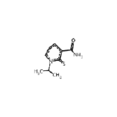 CC(C)n1cccc(C(N)=O)c1=S